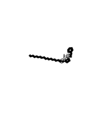 CCCCCCCCCCCCCCCCCCOC[C@@H]1CC[C@@H](CNCc2ccccc2)O1